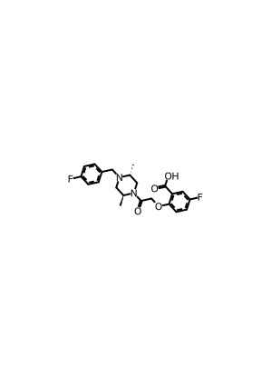 C[C@@H]1CN(C(=O)COc2ccc(F)cc2C(=O)O)[C@@H](C)CN1Cc1ccc(F)cc1